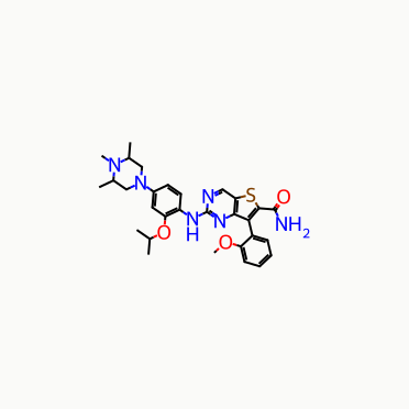 COc1ccccc1-c1c(C(N)=O)sc2cnc(Nc3ccc(N4CC(C)N(C)C(C)C4)cc3OC(C)C)nc12